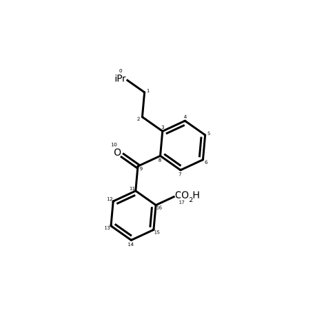 CC(C)CCc1ccccc1C(=O)c1ccccc1C(=O)O